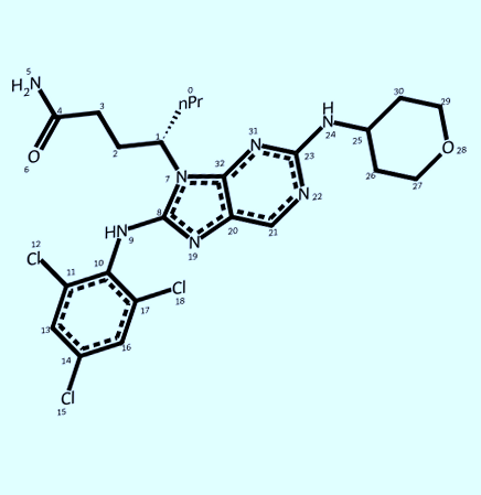 CCC[C@@H](CCC(N)=O)n1c(Nc2c(Cl)cc(Cl)cc2Cl)nc2cnc(NC3CCOCC3)nc21